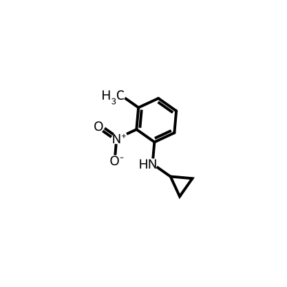 Cc1cccc(NC2CC2)c1[N+](=O)[O-]